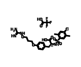 Cc1cc(S(=O)(=O)N[C@@H](Cc2ccc(OCCCONC(=N)N)cc2)C(=O)O)c(C)cc1Cl.O=C(O)C(F)(F)F